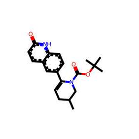 CC1CC=C(c2ccc3[nH]c(=O)ccc3c2)N(C(=O)OC(C)(C)C)C1